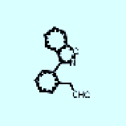 O=CCc1ccccc1-c1noc2ccccc12